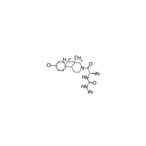 CC(C)NC(=O)N[C@@H](C(=O)N1CCC(c2ccc(Cl)cc2)C(C)(C)C1)C(C)C